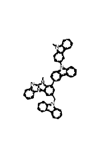 Cn1c2ccccc2c2cc(-n3c4ccccc4c4cc(-c5cc(Cn6c7ccccc7c7ccccc76)cc6c5n(C)c5nc7ccccc7n65)ccc43)ccc21